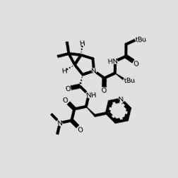 CN(C)C(=O)C(=O)[C@H](Cc1cccnc1)NC(=O)[C@@H]1[C@@H]2[C@H](CN1C(=O)[C@@H](NC(=O)CC(C)(C)C)C(C)(C)C)C2(C)C